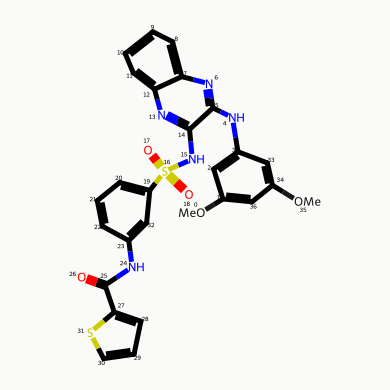 COc1cc(Nc2nc3ccccc3nc2NS(=O)(=O)c2cccc(NC(=O)c3cccs3)c2)cc(OC)c1